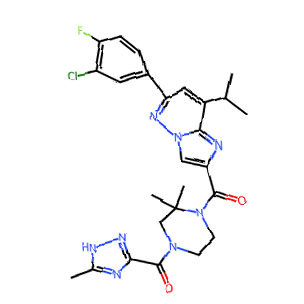 Cc1nc(C(=O)N2CCN(C(=O)c3cn4nc(-c5ccc(F)c(Cl)c5)cc(C(C)C)c4n3)C(C)(C)C2)n[nH]1